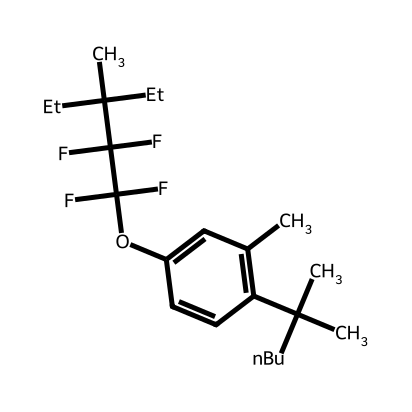 CCCCC(C)(C)c1ccc(OC(F)(F)C(F)(F)C(C)(CC)CC)cc1C